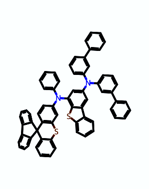 c1ccc(-c2cccc(N(c3cccc(-c4ccccc4)c3)c3cc(N(c4ccccc4)c4ccc5c(c4)Sc4ccccc4C54c5ccccc5-c5ccccc54)c4sc5ccccc5c4c3)c2)cc1